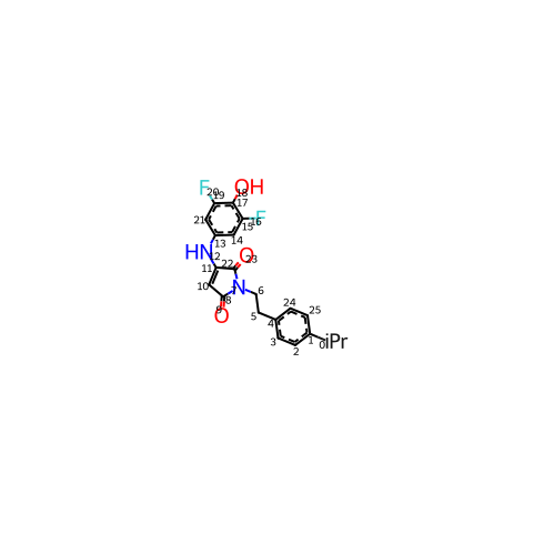 CC(C)c1ccc(CCN2C(=O)C=C(Nc3cc(F)c(O)c(F)c3)C2=O)cc1